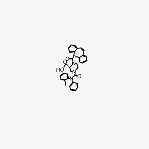 Cc1ccccc1N(C(=O)N1CCN(C(=O)N2c3ccccc3C=Cc3ccccc32)[C@H](C(=O)O)C1)c1ccccc1